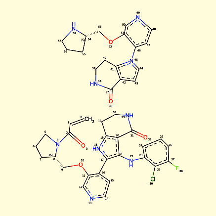 C=CC(=O)N1CCC[C@H]1COc1cnccc1-c1[nH]c2c(c1Nc1cccc(F)c1Cl)C(=O)NCC2.O=C1NCCc2c1ccn2-c1ccncc1OC[C@@H]1CCCN1